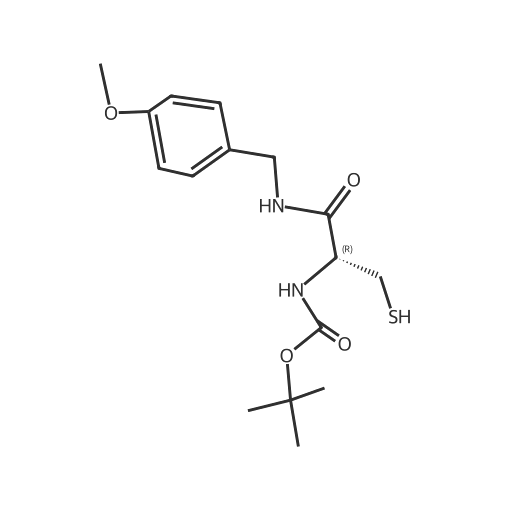 COc1ccc(CNC(=O)[C@H](CS)NC(=O)OC(C)(C)C)cc1